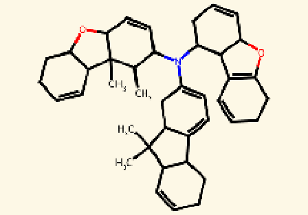 CC1C(N(C2=CC=C3C4CCC=CC4C(C)(C)C3C2)C2CC=CC3OC4=C(C=CCC4)C32)C=CC2OC3CCC=CC3C21C